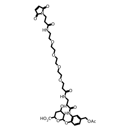 CC(=O)OCc1ccc(OC2CC(O)CC(C(=O)O)O2)c(NC(=O)CCNC(=O)CCOCCOCCOCCOCCNC(=O)CCN2C(=O)C=CC2=O)c1